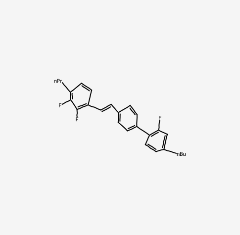 CCCCc1ccc(-c2ccc(/C=C/c3ccc(CCC)c(F)c3F)cc2)c(F)c1